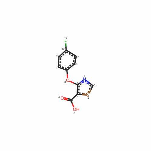 O=C(O)c1scnc1Oc1ccc(F)cc1